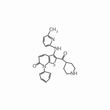 Cc1cccc(Nc2c(C(=O)C3CCNCC3)sc3c2ccc(=O)n3-c2ccccc2)n1